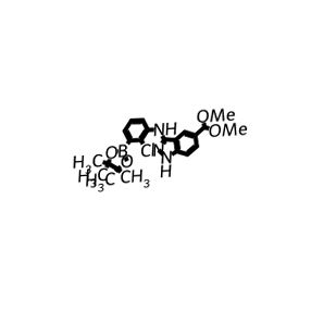 COC(OC)c1ccc2[nH]nc(Nc3cccc(B4OC(C)(C)C(C)(C)O4)c3Cl)c2c1